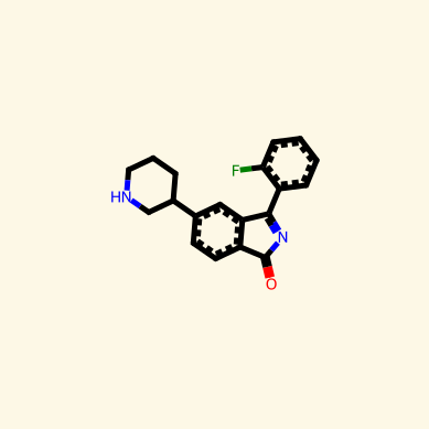 O=C1N=C(c2ccccc2F)c2cc(C3CCCNC3)ccc21